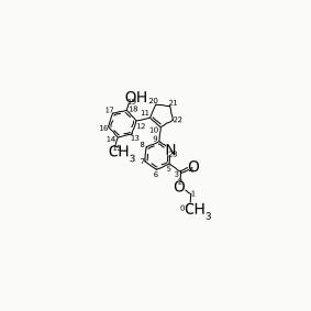 CCOC(=O)c1cccc(C2=C(c3cc(C)ccc3O)CCC2)n1